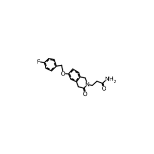 NC(=O)CCN1Cc2ccc(OCc3ccc(F)cc3)cc2CC1=O